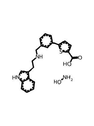 NO.O=C(O)c1ccc(-c2cccc(CNCCc3c[nH]c4ccccc34)c2)s1